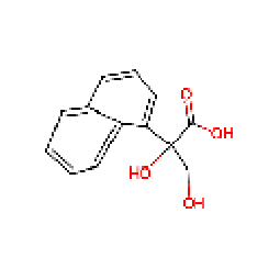 O=C(O)C(O)(CO)c1cccc2ccccc12